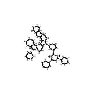 C1=C(c2ccccc2)NC(c2cccc(-n3c4ccc5c6ccccc6oc5c4c4c5c6ccccc6n(-c6ccccc6)c5ccc43)c2)NC1c1ccccc1